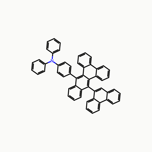 c1ccc(N(c2ccccc2)c2ccc(-c3c4ccccc4c(-c4cc5ccccc5c5ccccc45)c4c5ccccc5c5ccccc5c34)cc2)cc1